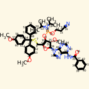 COc1ccc(C(SCC2=C(OP(OCCC#N)N(C(C)C)C(C)C)[C@H](OC)C(n3cnc4c(NC(=O)c5ccccc5)ncnc43)O2)(c2ccccc2)c2ccc(OC)cc2)cc1